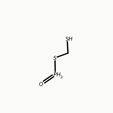 O=[PH2]SCS